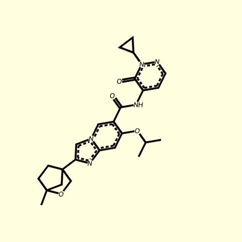 CC(C)Oc1cc2nc(C34CCC(C)(C3)OC4)cn2cc1C(=O)Nc1ccnn(C2CC2)c1=O